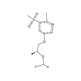 Cc1ncc(OC[C@H](C)OC(F)F)cc1S(C)(=O)=O